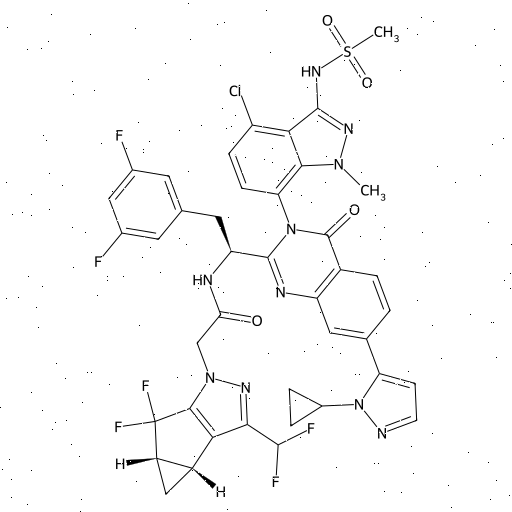 Cn1nc(NS(C)(=O)=O)c2c(Cl)ccc(-n3c([C@H](Cc4cc(F)cc(F)c4)NC(=O)Cn4nc(C(F)F)c5c4C(F)(F)[C@H]4C[C@@H]54)nc4cc(-c5ccnn5C5CC5)ccc4c3=O)c21